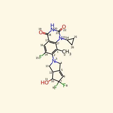 Cc1c(N2CC3=CC(F)(F)C(O)C3C2)c(F)cc2c(=O)[nH]c(=O)n(C3CC3)c12